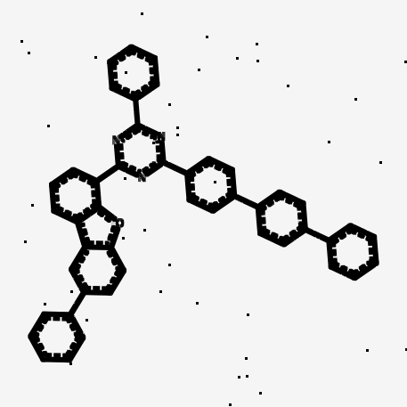 c1ccc(-c2ccc(-c3ccc(-c4nc(-c5ccccc5)nc(-c5cccc6c5oc5ccc(-c7ccccc7)cc56)n4)cc3)cc2)cc1